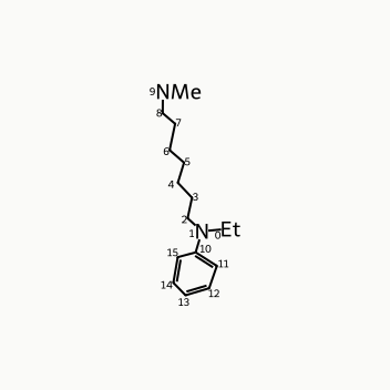 CCN(CCCCCCCNC)c1ccccc1